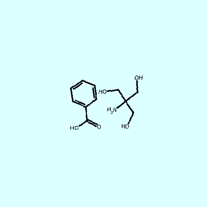 NC(CO)(CO)CO.O=C(O)c1ccccc1